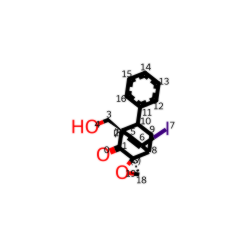 O=C1[C@@]2(CO)C=C(I)C(CC2c2ccccc2)[C@]12CO2